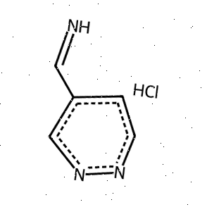 Cl.N=Cc1ccnnc1